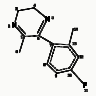 CC1=NCCN=C1c1ccc(F)cc1C